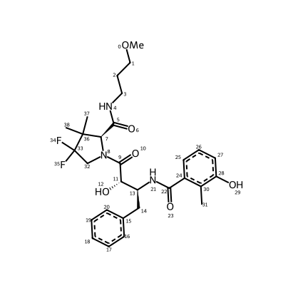 COCCCNC(=O)[C@H]1N(C(=O)[C@@H](O)[C@H](Cc2ccccc2)NC(=O)c2cccc(O)c2C)CC(F)(F)C1(C)C